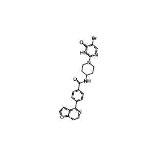 O=C(NC1CCN(c2ncc(Br)c(=O)[nH]2)CC1)c1ccc(-c2nccc3occc23)cc1